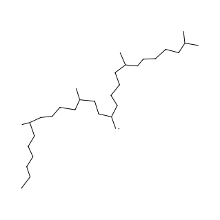 [CH2]C(CCCCC(C)CCCCCC(C)C)CCC(C)CCCCC(C)CCCCCC